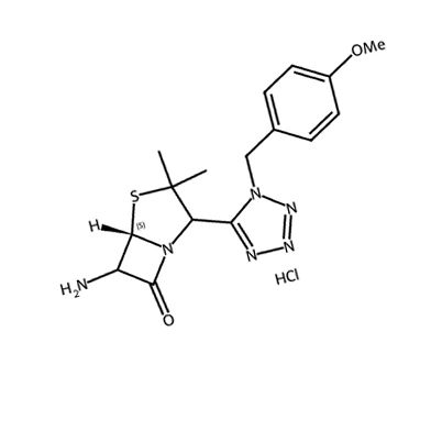 COc1ccc(Cn2nnnc2C2N3C(=O)C(N)[C@@H]3SC2(C)C)cc1.Cl